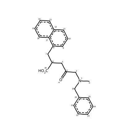 CN(CC(=O)CC(Cc1cccc2ccccc12)C(=O)O)Cc1ccccc1